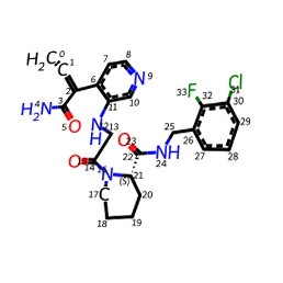 C=C=C(C(N)=O)c1ccncc1NCC(=O)N1CCCC[C@H]1C(=O)NCc1cccc(Cl)c1F